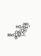 COC(=O)c1nc2cc(C)c(C)cc2n(C[C@H](O)[C@H](O)[C@H](O)CN)c1=O